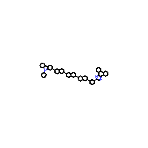 c1ccc(-n2c3ccccc3c3ccc(-c4ccc5cc(-c6ccc7cc(-c8ccc9cc(-c%10cccc(-c%11cnc%12c%13ccccc%13c%13ccccc%13c%12n%11)c%10)ccc9c8)ccc7c6)ccc5c4)cc32)cc1